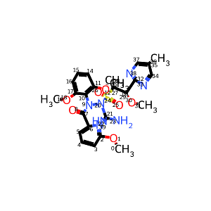 COc1cccc(C(=O)N(c2c(OC)cccc2OC)N(C(=N)N)S(=O)(=O)[C@H](C)[C@@H](OC)c2ncc(C)cn2)n1